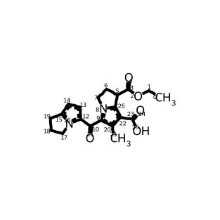 CCOC(=O)C1CCn2c(C(=O)c3ccc4n3CCC4)c(C)c(C(=O)O)c21